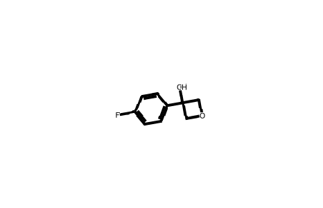 OC1(c2ccc(F)cc2)COC1